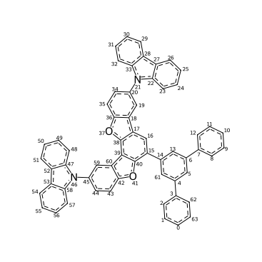 c1ccc(-c2cc(-c3ccccc3)cc(-c3cc4c5cc(-n6c7ccccc7c7ccccc76)ccc5oc4c4c3oc3ccc(-n5c6ccccc6c6ccccc65)cc34)c2)cc1